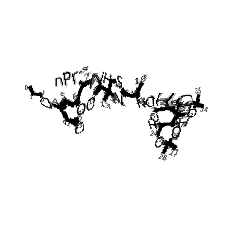 C=CCOc1cc([C@@H](CCC)NC(=O)C2(C)CSC(/C(C)=N/O[C@H]3O[C@@H]4COC(C)(C)O[C@H]4[C@@H]4OC(C)(C)O[C@H]34)=N2)oc(=O)c1